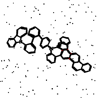 c1cc(-c2ccc3c(ccc4ccccc43)c2)cc(N(c2ccc(-c3ccccc3-c3ccccc3-n3c4ccccc4c4ccccc43)cc2)c2ccccc2-c2cccc3c2oc2ccccc23)c1